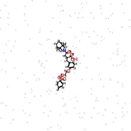 Cc1ccc(S(=O)(=O)OCCOc2cccc(CC(CC(=O)N3C[C@H]4CCCC[C@H]4C3)C(=O)O)c2)cc1